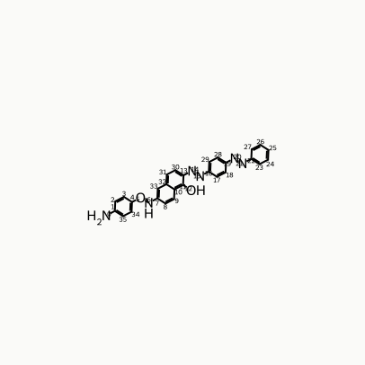 Nc1ccc(ONc2ccc3c(O)c(N=Nc4ccc(N=Nc5ccccc5)cc4)ccc3c2)cc1